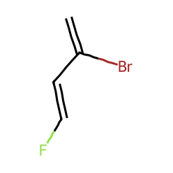 C=C(Br)C=CF